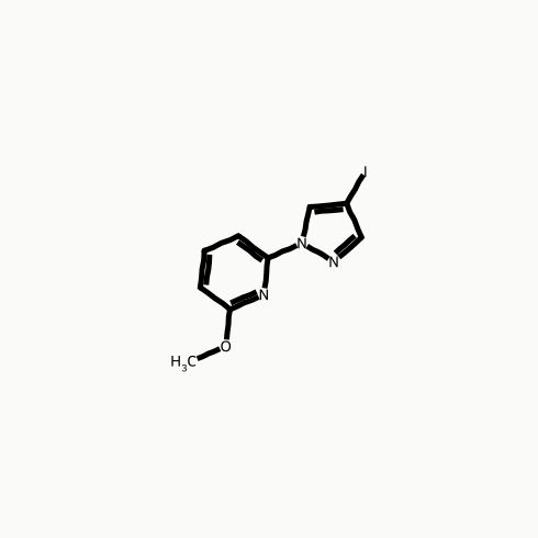 COc1cccc(-n2cc(I)cn2)n1